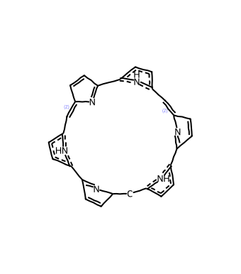 C1=C/C2=C/c3ccc([nH]3)C3=NC(C=C3)Cc3ccc([nH]3)C3=N/C(=C\c4ccc([nH]4)C1=N2)C=C3